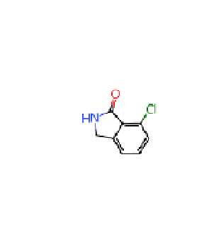 O=C1NCc2cccc(Cl)c21